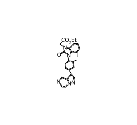 CCOC(=O)Cn1c(=O)n(-c2ccc(-c3cnn4ccncc34)cc2C)c2c(C)cccc21